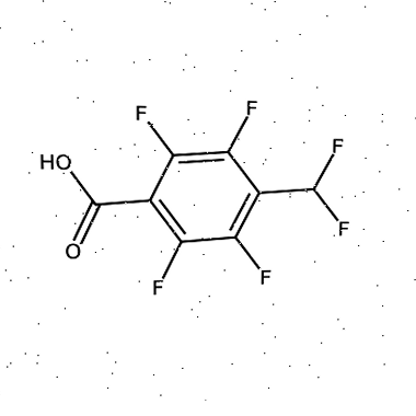 O=C(O)c1c(F)c(F)c(C(F)F)c(F)c1F